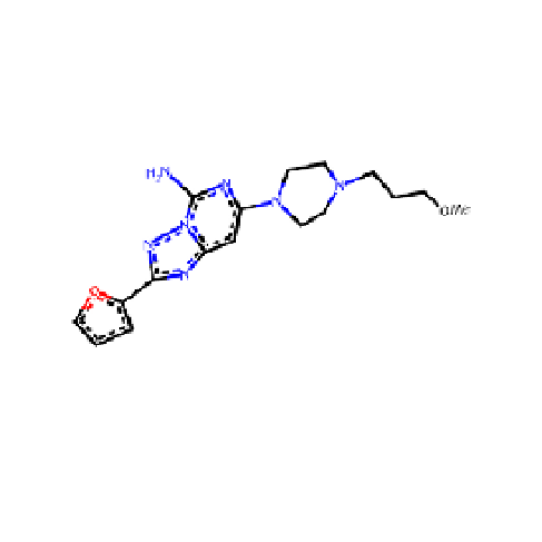 COCCCN1CCN(c2cc3nc(-c4ccco4)nn3c(N)n2)CC1